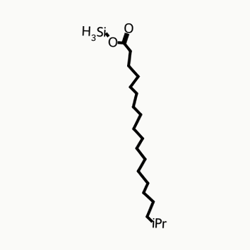 CC(C)CCCCCCCCCCCCCCCCC(=O)O[SiH3]